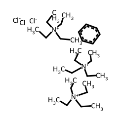 CC[N+](CC)(CC)CC.CC[N+](CC)(CC)CC.CC[N+](CC)(CC)CC.[Cl-].[Cl-].[Cl-].c1ccccc1